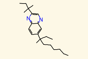 CCCCCCC(C)(CC)c1ccc2nc(C(C)(C)CC)cnc2c1